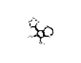 CC1=C(C)C(=C2SS[Se][Se]2)C2=C1SCCS2